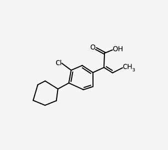 CC=C(C(=O)O)c1ccc(C2CCCCC2)c(Cl)c1